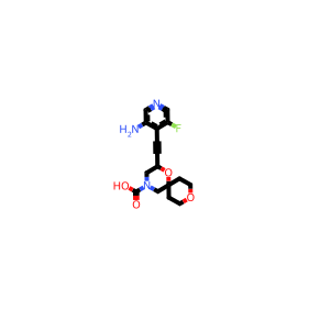 Nc1cncc(F)c1C#CC1CN(C(=O)O)CC2(CCOCC2)O1